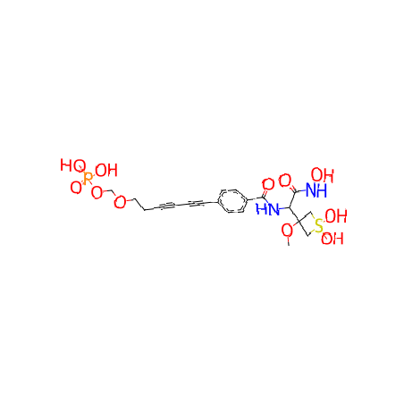 COC1(C(NC(=O)c2ccc(C#CC#CCCOCOP(=O)(O)O)cc2)C(=O)NO)CS(O)(O)C1